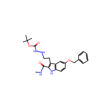 CNC(=O)c1[nH]c2ccc(OCc3ccccc3)cc2c1CCNNC(=O)OC(C)(C)C